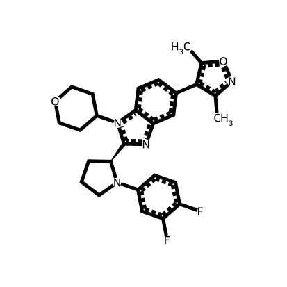 Cc1noc(C)c1-c1ccc2c(c1)nc([C@@H]1CCCN1c1ccc(F)c(F)c1)n2C1CCOCC1